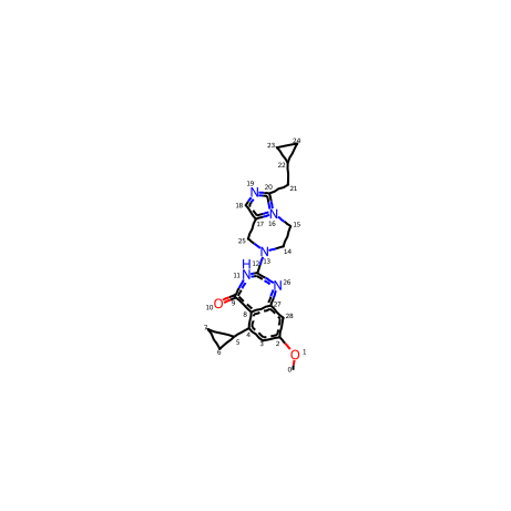 COc1cc(C2CC2)c2c(=O)[nH]c(N3CCn4c(cnc4CC4CC4)C3)nc2c1